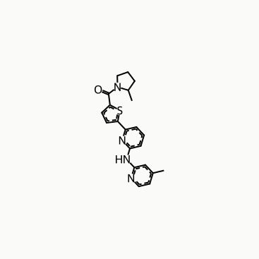 Cc1ccnc(Nc2cccc(-c3ccc(C(=O)N4CCCC4C)s3)n2)c1